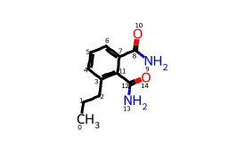 CCCc1cccc(C(N)=O)c1C(N)=O